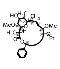 CCO[C@H]1CCCC[C@@H](c2ccccc2)OC(=O)[C@@H](C)[C@@]2(O)O[C@H]([C@@H](C)[C@H](O)[C@H]2OC)[C@@H](C)/C=C/[C@H]1OC